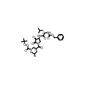 CC(C)C[C@@H](CNC(=O)OOC(C)(C)C)C(=O)N1CC(NC(=O)[C@H](CC(C)C)NC(=O)OCc2ccccc2)C(=O)C1=O